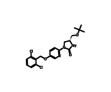 CC(C)(C)OC[C@H]1CN(c2ccc(OCc3c(Cl)cccc3Cl)cn2)C(=O)N1